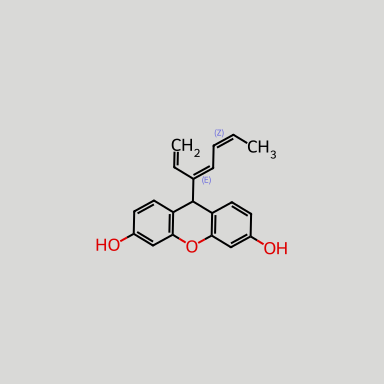 C=C/C(=C\C=C/C)C1c2ccc(O)cc2Oc2cc(O)ccc21